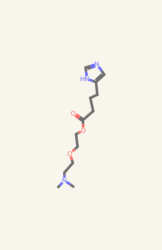 CN(C)CCOCCOC(=O)CCCc1cnc[nH]1